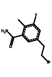 Cc1c(F)cc(CCBr)cc1C(N)=O